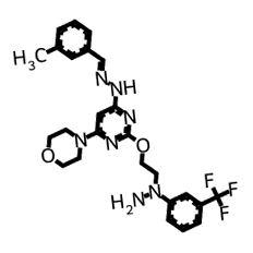 Cc1cccc(C=NNc2cc(N3CCOCC3)nc(OCCN(N)c3cccc(C(F)(F)F)c3)n2)c1